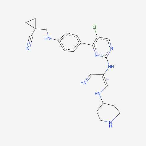 N#CC1(CNc2ccc(-c3nc(N/C(C=N)=C/NC4CCNCC4)ncc3Cl)cc2)CC1